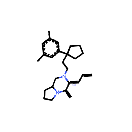 C=C/C=C1/C(=C)N2CCCC2CN1CCC1(c2cc(C)cc(C)c2)CCCC1